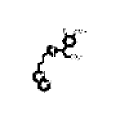 COc1ccc(C(CC(=O)O)c2nc(CCCc3ccc4cccnc4n3)co2)cc1F